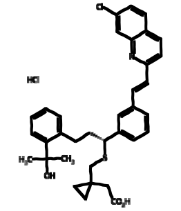 CC(C)(O)c1ccccc1CC[C@@H](SCC1(CC(=O)O)CC1)c1cccc(C=Cc2ccc3ccc(Cl)cc3n2)c1.Cl